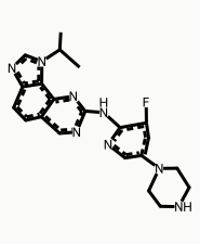 CC(C)n1cnc2ccc3cnc(Nc4ncc(N5CCNCC5)cc4F)nc3c21